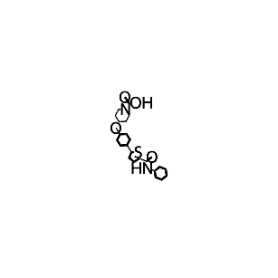 O=C(Nc1ccccc1)c1ccc(-c2ccc(OC3CCN(C(=O)O)CC3)cc2)s1